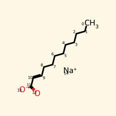 CCCCCCCCCC=CC(=O)[O-].[Na+]